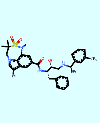 CCC[C@@H](NC[C@@H](O)[C@H](Cc1ccccc1)NC(=O)c1cc2c3c(c1)c(CC)cn3CC(C)(C)S(=O)(=O)N2C)c1cccc(C(F)(F)F)c1